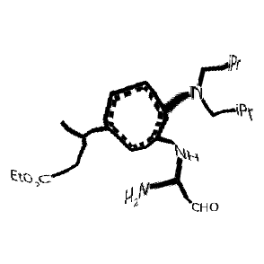 CCOC(=O)CC(C)c1ccc(N(CC(C)C)CC(C)C)c(NC(N)C=O)c1